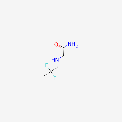 CC(F)(F)CNCC(N)=O